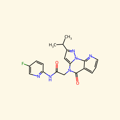 CC(C)c1cc2n(CC(=O)Nc3ccc(F)cn3)c(=O)c3cccnc3n2n1